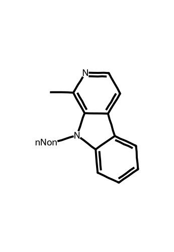 CCCCCCCCCn1c2ccccc2c2ccnc(C)c21